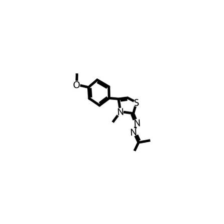 COc1ccc(-c2csc(=NN=C(C)C)n2C)cc1